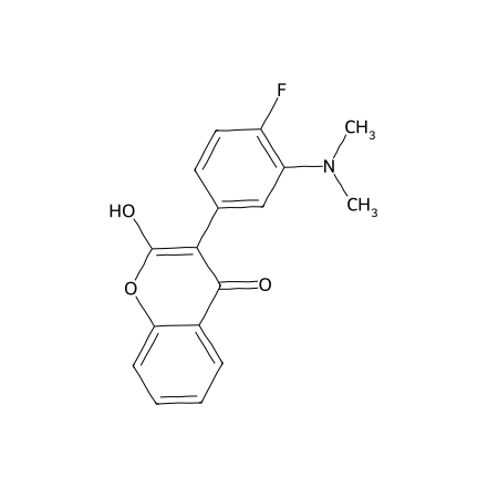 CN(C)c1cc(-c2c(O)oc3ccccc3c2=O)ccc1F